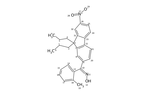 CCCC1(CCC)c2cc(C(=NO)c3ccccc3C)ccc2-c2ccc([N+](=O)[O-])cc21